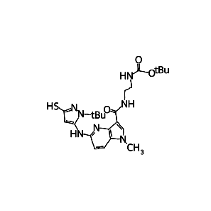 Cn1cc(C(=O)NCCNC(=O)OC(C)(C)C)c2nc(Nc3cc(S)nn3C(C)(C)C)ccc21